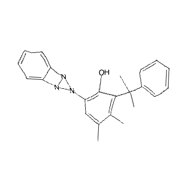 Cc1cc(-n2n3c4ccccc4n23)c(O)c(C(C)(C)c2ccccc2)c1C